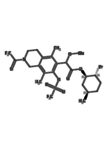 Cc1c2c(c(C)c(C(OC(C)(C)C)C(=O)O[C@@H]3C[C@H](C)CC[C@H]3C(C)C)c1OS(=O)(=O)C(F)(F)F)CCN(C(=O)C(F)(F)F)C2